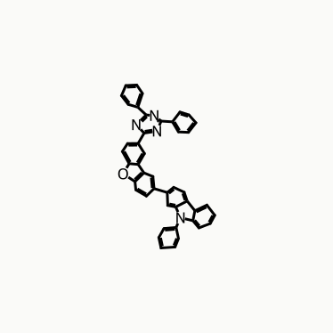 c1ccc(-c2nc(-c3ccccc3)nc(-c3ccc4oc5ccc(-c6ccc7c8ccccc8n(-c8ccccc8)c7c6)cc5c4c3)n2)cc1